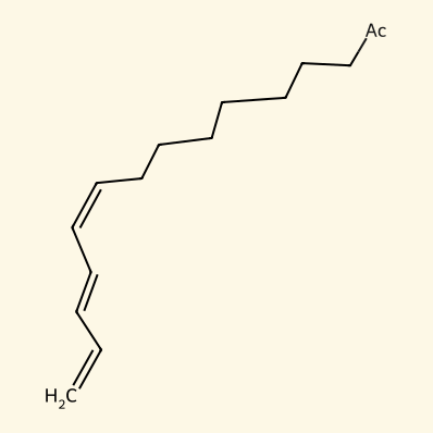 C=C/C=C/C=C\CCCCCCCC(C)=O